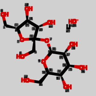 OC[C@H]1O[C@@](CO)(O[C@H]2O[C@H](CO)[C@@H](O)[C@H](O)[C@H]2O)[C@@H](O)[C@@H]1O.[Li+].[OH-]